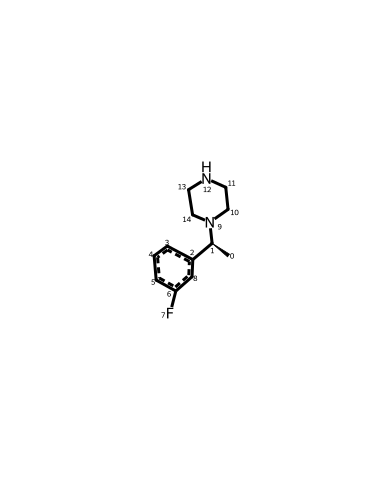 C[C@@H](c1cccc(F)c1)N1CCNCC1